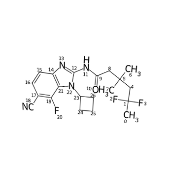 CC(F)(F)CC(C)(C)CC(=O)Nc1nc2ccc(C#N)c(F)c2n1C1CCC1